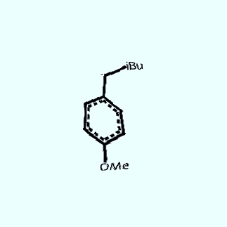 CCC(C)[CH]c1ccc(OC)cc1